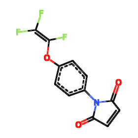 O=C1C=CC(=O)N1c1ccc(OC(F)=C(F)F)cc1